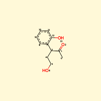 CC(=O)C(CCO)c1ccccc1O